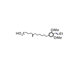 C=C(CCCCCCc1cc(OC)c(/C=C/CC)c(OC)c1)CCCC(=O)O